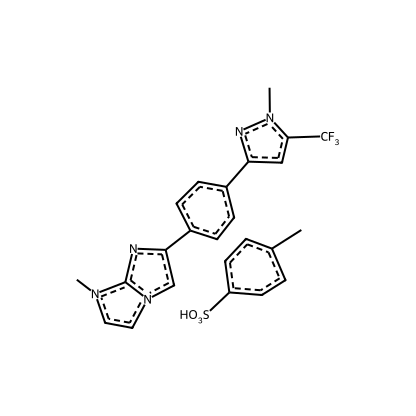 Cc1ccc(S(=O)(=O)O)cc1.Cn1nc(-c2ccc(-c3cn4ccn(C)c4n3)cc2)cc1C(F)(F)F